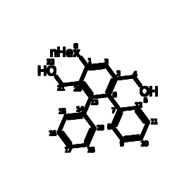 CCCCCCc1cc(CO)c(-c2ccccc2)c(-c2ccccc2)c1CO